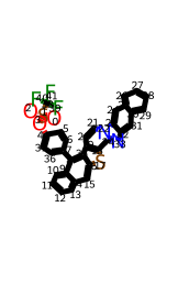 O=S(=O)(Oc1ccc(-c2c3ccccc3cc3sc4c(ccn5c6cc7ccccc7cc6nc45)c23)cc1)C(F)(F)F